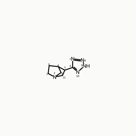 C1CN2CC1C(c1nn[nH]n1)C2